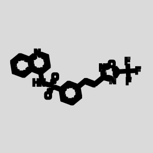 O=S(=O)(Nc1ccnc2ccccc12)c1cccc(C=Cc2noc(C(F)(F)F)n2)c1